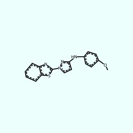 COc1ccc(Nc2ccn(-c3nc4ccccc4s3)n2)cc1